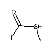 O=C(I)BI